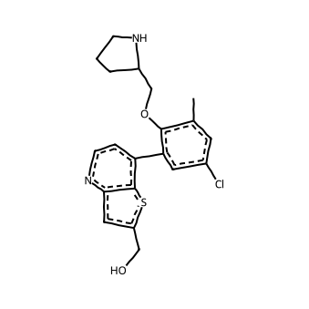 Cc1cc(Cl)cc(-c2ccnc3cc(CO)sc23)c1OCC1CCCN1